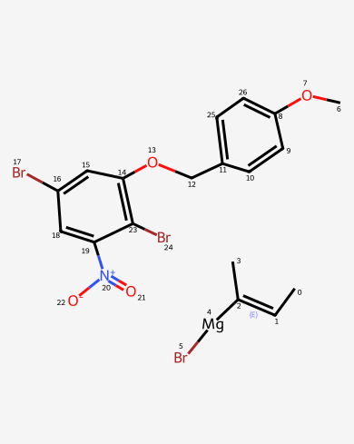 C/C=[C](\C)[Mg][Br].COc1ccc(COc2cc(Br)cc([N+](=O)[O-])c2Br)cc1